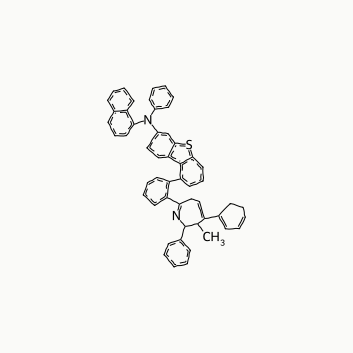 CC1C(C2=CC=CCC2)=CCC(c2ccccc2-c2cccc3sc4cc(N(c5ccccc5)c5cccc6ccccc56)ccc4c23)=NC1c1ccccc1